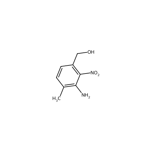 Cc1ccc(CO)c([N+](=O)[O-])c1N